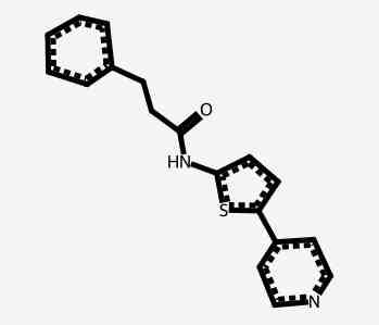 O=C(CCc1ccccc1)Nc1ccc(-c2ccncc2)s1